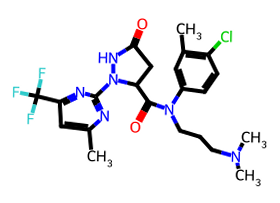 Cc1cc(C(F)(F)F)nc(N2NC(=O)CC2C(=O)N(CCCN(C)C)c2ccc(Cl)c(C)c2)n1